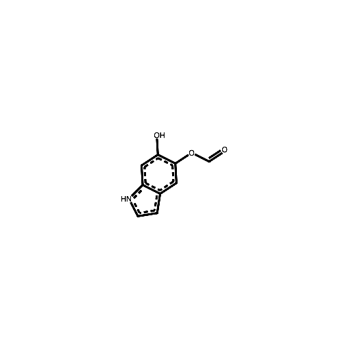 O=COc1cc2cc[nH]c2cc1O